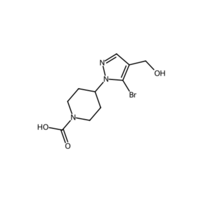 O=C(O)N1CCC(n2ncc(CO)c2Br)CC1